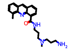 Cc1cccc2cc3cccc(C(=O)NCCCN(C)CCCN)c3nc12